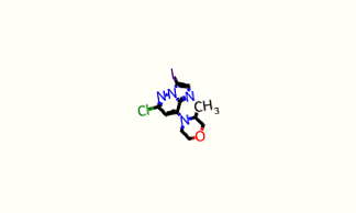 CC1COCCN1c1cc(Cl)nn2c(I)cnc12